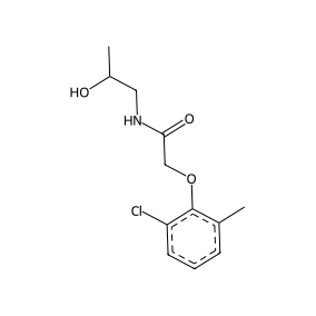 Cc1cccc(Cl)c1OCC(=O)NCC(C)O